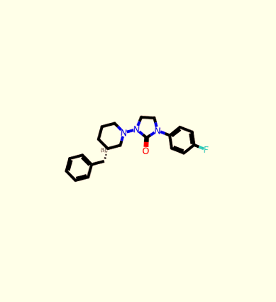 O=C1N(c2ccc(F)cc2)CCN1N1CCC[C@@H](Cc2ccccc2)C1